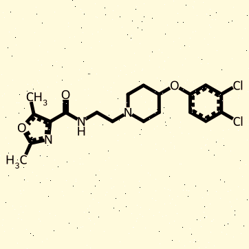 Cc1nc(C(=O)NCCN2CCC(Oc3ccc(Cl)c(Cl)c3)CC2)c(C)o1